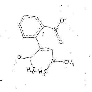 CC(=O)/C(=C\N(C)C)c1ccccc1[N+](=O)[O-]